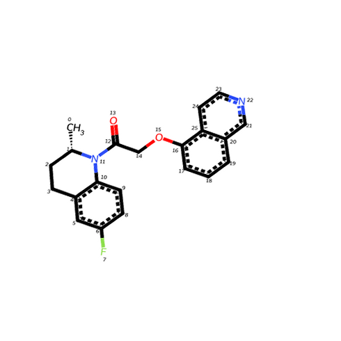 C[C@H]1CCc2cc(F)ccc2N1C(=O)COc1cccc2cnccc12